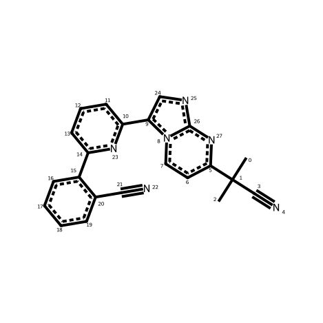 CC(C)(C#N)c1ccn2c(-c3cccc(-c4ccccc4C#N)n3)cnc2n1